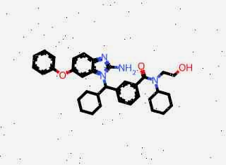 Nc1nc2ccc(Oc3ccccc3)cc2n1C(c1cccc(C(=O)N(CCO)C2CCCCC2)c1)C1CCCCC1